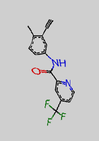 C#Cc1cc(NC(=O)c2cc(C(F)(F)F)ccn2)ccc1C